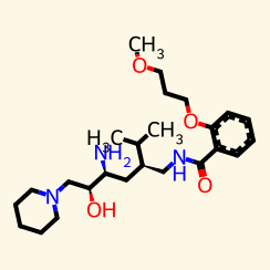 COCCCOc1ccccc1C(=O)NC[C@@H](C[C@H](N)[C@@H](O)CN1CCCCC1)C(C)C